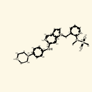 CN(c1ncccc1Cn1ccc2cnc(Nc3ccc(N4CCOCC4)cc3)cc21)S(C)(=O)=O